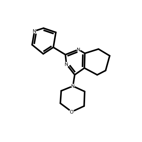 c1cc(-c2nc3c(c(N4CCOCC4)n2)CCCC3)ccn1